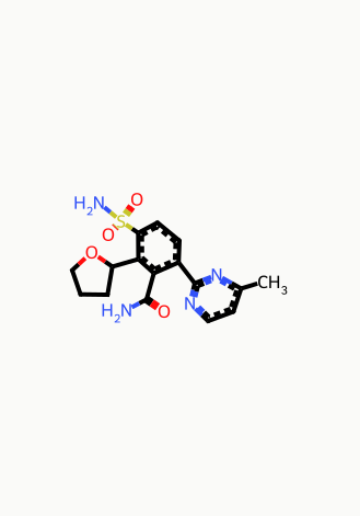 Cc1ccnc(-c2ccc(S(N)(=O)=O)c(C3CCCO3)c2C(N)=O)n1